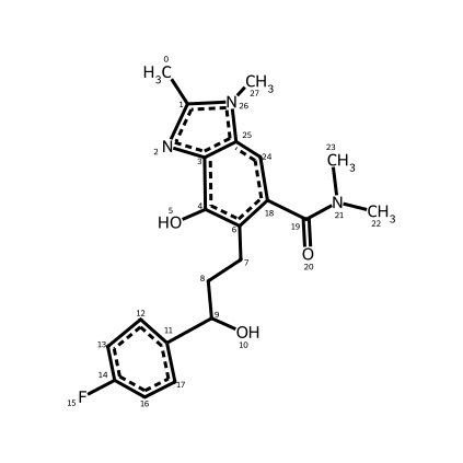 Cc1nc2c(O)c(CCC(O)c3ccc(F)cc3)c(C(=O)N(C)C)cc2n1C